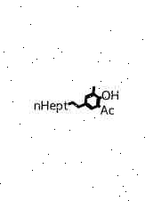 CCCCCCCCCc1cc(C)c(O)c(C(C)=O)c1